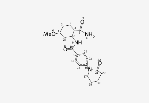 COC1CCC(C(N)=O)C(NC(=O)c2ccc(N3CCCCC3=O)cc2)C1